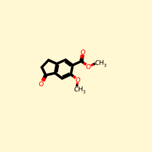 COC(=O)c1cc2c(cc1OC)C(=O)CC2